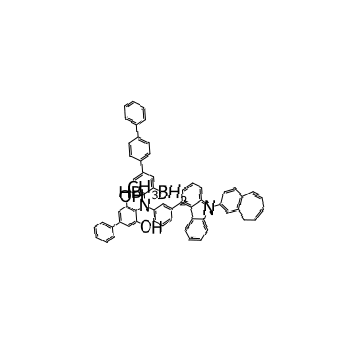 B=C(/C(B)=C\C(=C/C)c1ccc(-c2ccccc2)cc1)N(c1cccc(-c2cccc3c2c2ccccc2n3-c2ccc3c(c2)CC=CC=C3)c1)c1c(O)cc(-c2ccccc2)cc1O